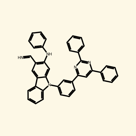 N=Cc1cc2c3ccccc3n(-c3cccc(-c4cc(-c5ccccc5)nc(-c5ccccc5)n4)c3)c2cc1Nc1ccccc1